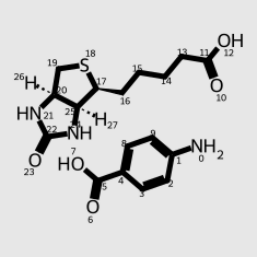 Nc1ccc(C(=O)O)cc1.O=C(O)CCCC[C@@H]1SC[C@@H]2NC(=O)N[C@@H]21